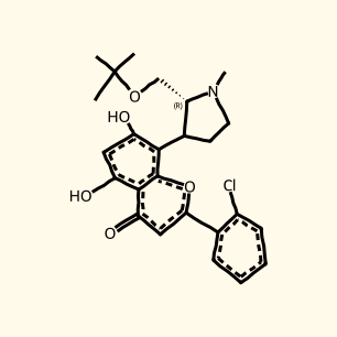 CN1CCC(c2c(O)cc(O)c3c(=O)cc(-c4ccccc4Cl)oc23)[C@@H]1COC(C)(C)C